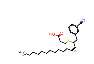 CCCCCCCCCCC/C=C\C(Cc1cccc(C#N)c1)SCCC(=O)O